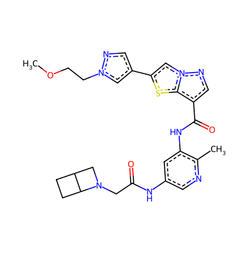 COCCn1cc(-c2cn3ncc(C(=O)Nc4cc(NC(=O)CN5CC6CCC65)cnc4C)c3s2)cn1